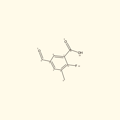 Cc1cc(C=O)cc(C(=O)O)c1F